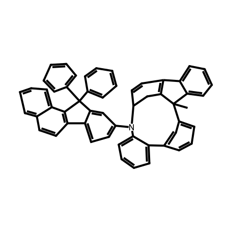 CC12C3=C(C=CC(C3)N(c3ccc4c(c3)C(c3ccccc3)(c3ccccc3)c3c-4ccc4ccccc34)c3ccccc3-c3cccc1c3)c1ccccc12